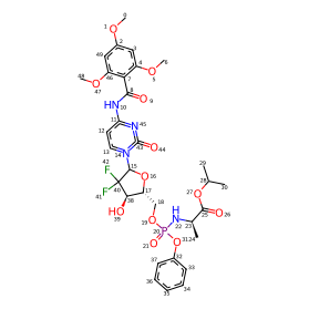 COc1cc(OC)c(C(=O)Nc2ccn(C3O[C@H](COP(=O)(N[C@H](C)C(=O)OC(C)C)Oc4ccccc4)[C@@H](O)C3(F)F)c(=O)n2)c(OC)c1